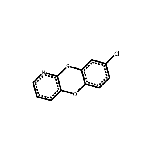 Clc1ccc2c(c1)Sc1ncccc1O2